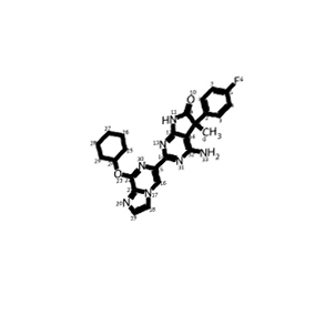 CC1(c2ccc(F)cc2)C(=O)Nc2nc(-c3cn4ccnc4c(OC4CCCCC4)n3)nc(N)c21